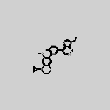 CCn1cnc2c(-c3ccc(F)c(-c4cc5c(cc4OC)N(C4CC4)CCO5)c3)cnnc21